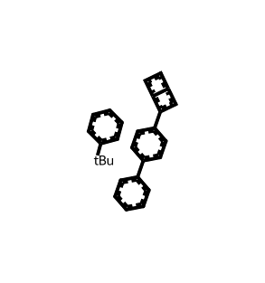 CC(C)(C)c1ccccc1.c1ccc(-c2ccc(-c3cc4ccc3-4)cc2)cc1